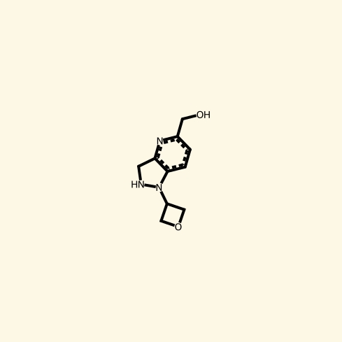 OCc1ccc2c(n1)CNN2C1COC1